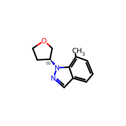 Cc1cccc2cnn([C@H]3CCOC3)c12